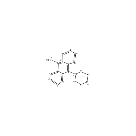 O=Cc1c2ccccc2c(N2CCOCC2)c2ccccc12